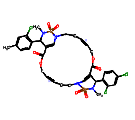 Cc1ccc(C2C3=CN(CC/C=C\COC(=O)C4=CN(CC/C=C\COC3=O)S(=O)(=O)N(C)C4c3ccc(Cl)cc3Cl)S(=O)(=O)N2C)c(Cl)c1